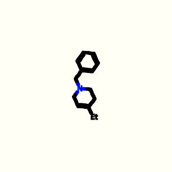 CCC1=CCN(Cc2ccccc2)CC1